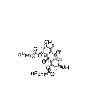 CCCCCC(=O)Oc1cc(C)cc2c1C(=O)c1c(OC(=O)CCCCC)cc(O)cc1C2=O